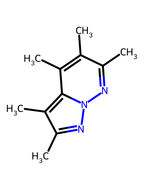 Cc1nn2nc(C)c(C)c2c(C)c1C